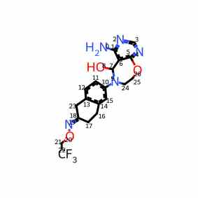 Nc1ncnc2c1C(O)N(c1ccc3c(c1)CC/C(=N\OCC(F)(F)F)C3)CCO2